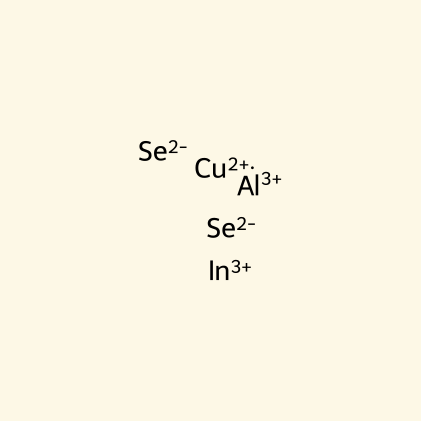 [Al+3].[Cu+2].[In+3].[Se-2].[Se-2]